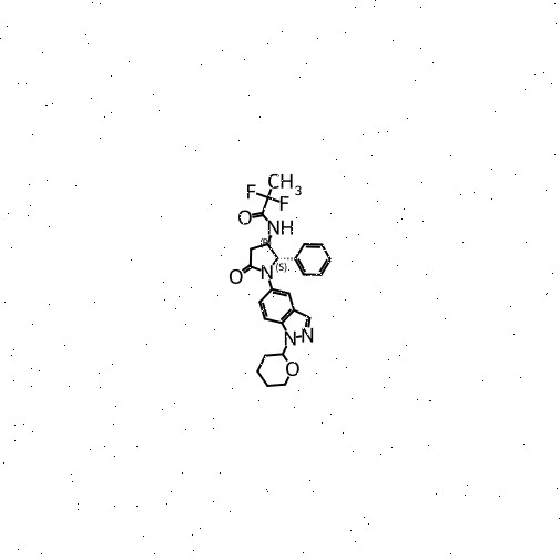 CC(F)(F)C(=O)N[C@@H]1CC(=O)N(c2ccc3c(cnn3C3CCCCO3)c2)[C@H]1c1ccccc1